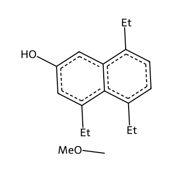 CCc1ccc(CC)c2c(CC)cc(O)cc12.COC